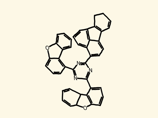 C1=CC2Oc3cccc(-c4nc(-c5ccc6c7c(cccc57)C5=C6C=CCC5)nc(-c5cccc6oc7ccccc7c56)n4)c3C2C=C1